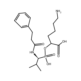 CC(C)[C@@H](NC(=O)CCc1ccccc1)P(=O)(O)OC(CCCCN)C(=O)O